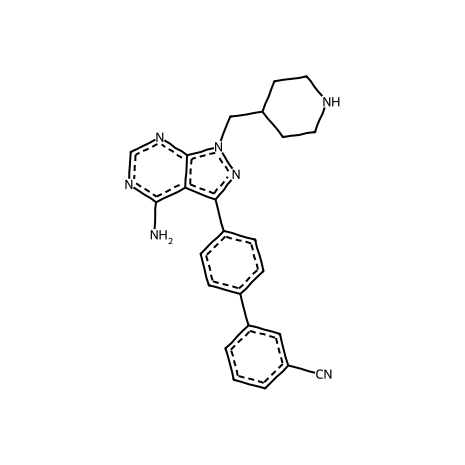 N#Cc1cccc(-c2ccc(-c3nn(CC4CCNCC4)c4ncnc(N)c34)cc2)c1